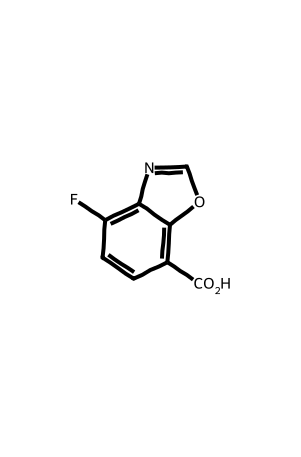 O=C(O)c1ccc(F)c2ncoc12